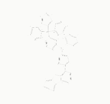 Fc1ccc(N(c2ccc(-c3cccc4c3oc3ccccc34)cc2)c2ccc3c(c2)C(c2ccccc2)(c2ccccc2)c2ccccc2-3)cc1